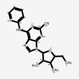 CC(=O)OCC1OC(n2cnc3c(Nc4ccccn4)nc(C#N)nc32)C(OC(C)=O)C1OC(C)=O